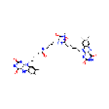 CNC(=O)C(CCCCNC(=O)CCCCCn1c2nc(=O)[nH]c(=O)c-2nc2cc(C)c(C)cc21)NC(=O)CCCCCn1c2nc(=O)[nH]c(=O)c-2nc2cc(C)c(C)cc21